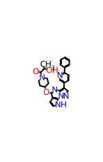 C[C@@H](O)C(=O)N1CCC(Oc2nc3c(-c4ccc(-c5ccccc5)nc4)cnn3c3[nH]ccc23)CC1